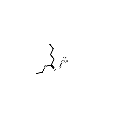 CCCCC(=O)OCC.O=C([O-])O.[Na+]